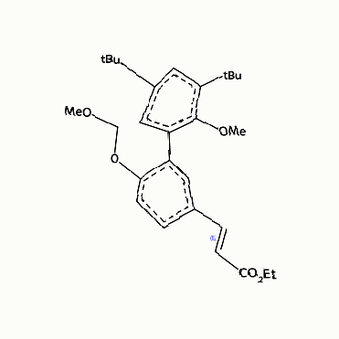 CCOC(=O)/C=C/c1ccc(OCOC)c(-c2cc(C(C)(C)C)cc(C(C)(C)C)c2OC)c1